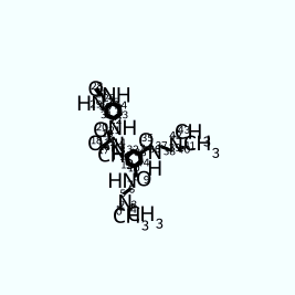 CCN(CC)CCNC(=O)c1cc(N=NC(C(C)=O)C(=O)Nc2ccc3[nH]c(=O)[nH]c3c2)cc(C(=O)NCCN(CC)CC)c1